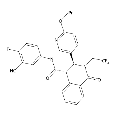 CC(C)Oc1ccc([C@@H]2[C@@H](C(=O)Nc3ccc(F)c(C#N)c3)c3ccccc3C(=O)N2CC(F)(F)F)cn1